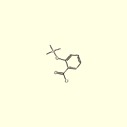 C[Si](C)(C)Oc1ccccc1C(=O)Cl